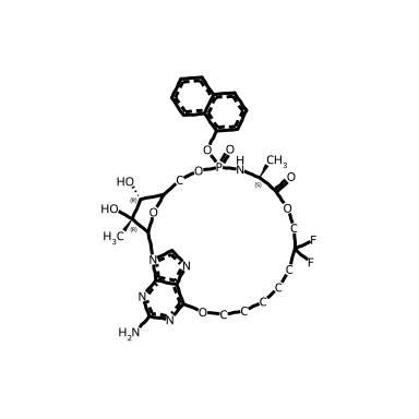 C[C@@H]1NP(=O)(Oc2cccc3ccccc23)OCC2OC(n3cnc4c(nc(N)nc43)OCCCCCC(F)(F)COC1=O)[C@](C)(O)[C@@H]2O